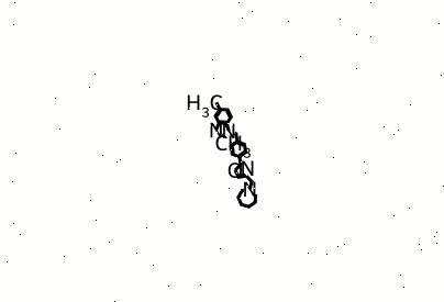 Cc1ccc2c(c1)nc(C)n2Cc1ccc(-c2nc(CN3CCCCCC3)co2)cc1